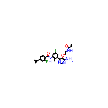 C=CC(=O)NCCOc1c(N)ncnc1-c1cc(F)cc(NC(=O)c2ccc(C3CC3)cc2F)c1C